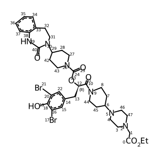 CCOC(=O)CN1CCN(C2CCN(C(=O)[C@@H](Cc3cc(Br)c(O)c(Br)c3)OC(=O)N3CCC(N4CCc5ccccc5NC4=O)CC3)CC2)CC1